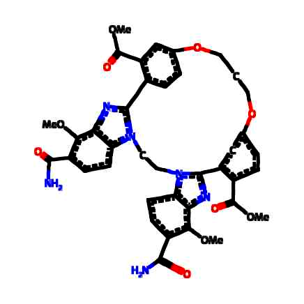 COC(=O)c1cc2ccc1-c1nc3c(OC)c(C(N)=O)ccc3n1CCn1c(nc3c(OC)c(C(N)=O)ccc31)-c1cc(ccc1C(=O)OC)OCCCO2